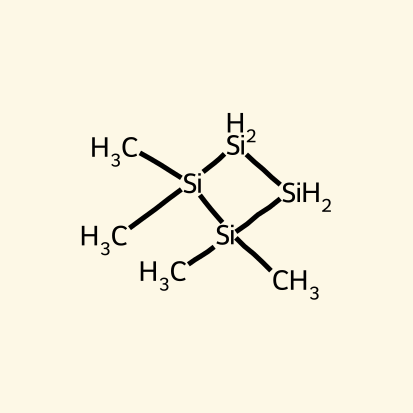 C[Si]1(C)[SiH2][SiH2][Si]1(C)C